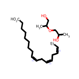 CC(O)COC(C)CO.CC/C=C\C/C=C\C/C=C\CCCCCCCC(=O)O